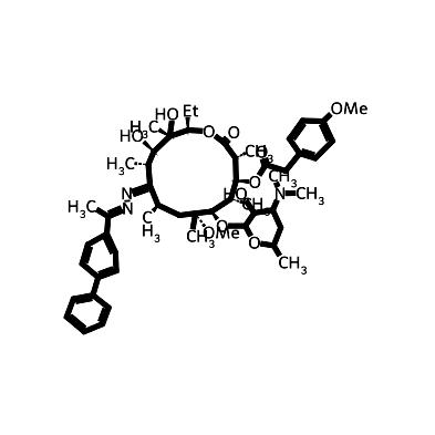 CC[C@H]1OC(=O)[C@H](C)[C@@H](OC(=O)Cc2ccc(OC)cc2)[C@H](C)[C@@H](OC2OC(C)CC(N(C)C)C2O)[C@](C)(OC)C[C@@H](C)/C(=N\N=C(/C)c2ccc(-c3ccccc3)cc2)[C@H](C)[C@@H](O)[C@]1(C)O